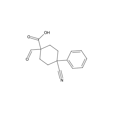 N#CC1(c2ccccc2)CCC(C=O)(C(=O)O)CC1